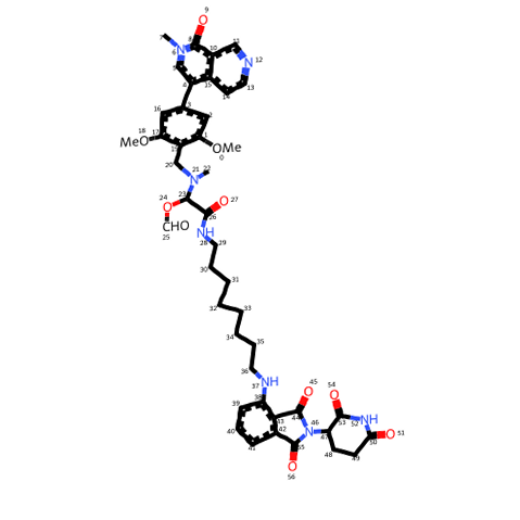 COc1cc(-c2cn(C)c(=O)c3cnccc23)cc(OC)c1CN(C)C(OC=O)C(=O)NCCCCCCCCNc1cccc2c1C(=O)N(C1CCC(=O)NC1=O)C2=O